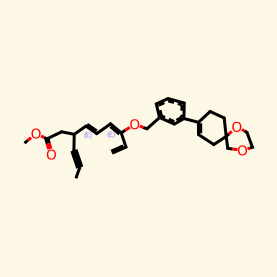 C=C/C(=C\C=C\C(C#CC)CC(=O)OC)OCc1cccc(C2=CCC3(CC2)COCCO3)c1